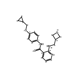 O=C(Nc1ccc(OCC2CC2)cc1)c1cccnc1NCC1COC1